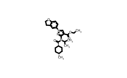 CCOC(=O)c1cn(-c2ccc3c(c2)CCO3)nc1N(C(=O)[C@H]1CC[C@H](C)CC1)C(C)C